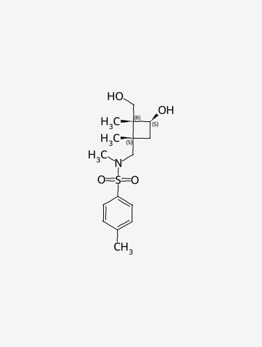 Cc1ccc(S(=O)(=O)N(C)C[C@@]2(C)C[C@H](O)[C@@]2(C)CO)cc1